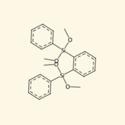 CO[Si](OC)(c1ccccc1)c1ccccc1[Si](OC)(OC)c1ccccc1